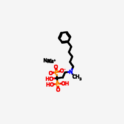 CN(CCCCCc1ccccc1)CCC(O)(P(=O)([O-])[O-])P(=O)(O)O.[Na+].[Na+]